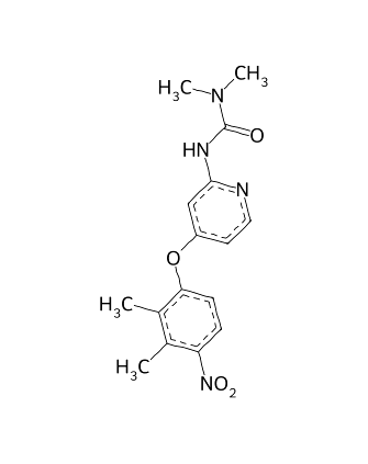 Cc1c(Oc2ccnc(NC(=O)N(C)C)c2)ccc([N+](=O)[O-])c1C